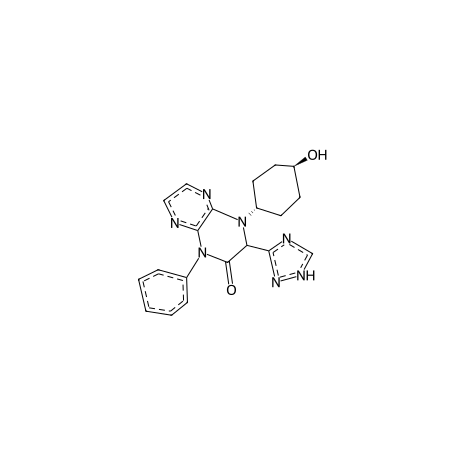 O=C1C(c2nc[nH]n2)N([C@H]2CC[C@H](O)CC2)c2nccnc2N1c1ccccc1